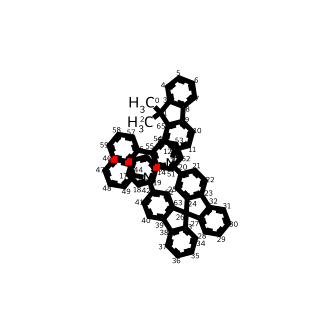 CC1(C)c2ccccc2-c2ccc(N(c3ccccc3)c3ccc4c(c3)C3(c5ccccc5-4)c4ccccc4-c4ccc(N(c5ccccc5)c5ccccc5-c5ccccc5)cc43)cc21